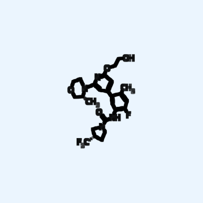 Cc1cc(F)c(NC(=O)N2CC[C@H](C(F)(F)F)C2)cc1-c1cc(OCCO)nc(N2CCOC[C@H]2C)c1